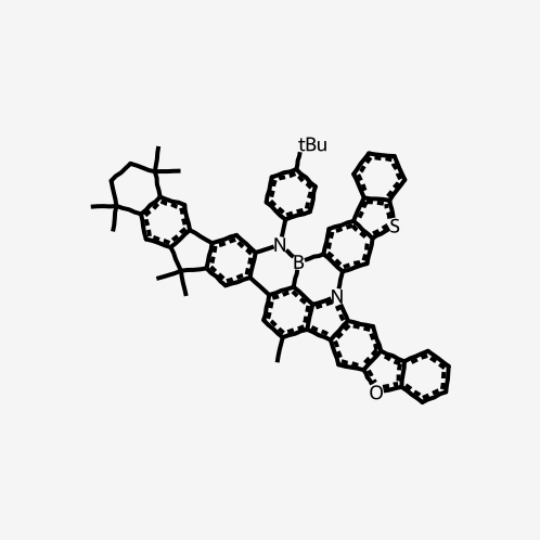 Cc1cc2c3c4c1c1cc5oc6ccccc6c5cc1n4-c1cc4sc5ccccc5c4cc1B3N(c1ccc(C(C)(C)C)cc1)c1cc3c(cc1-2)C(C)(C)c1cc2c(cc1-3)C(C)(C)CCC2(C)C